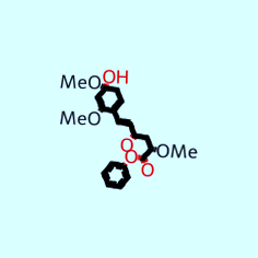 COC1=CC(O)(OC)CC=C1C=CC(=O)CC(OC)C(=O)Oc1ccccc1